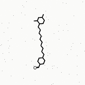 CC1CCC(CCCCCCCCCCC2CCC(C=O)CC2)C(C)C1